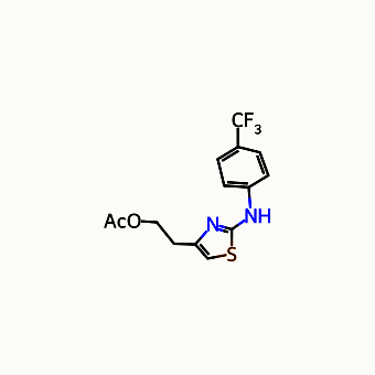 CC(=O)OCCc1csc(Nc2ccc(C(F)(F)F)cc2)n1